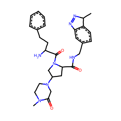 CC1N=Nc2cc(CNC(=O)C3CC(N4CCN(C)C(=O)C4)CN3C(=O)C(N)CCc3ccccc3)ccc21